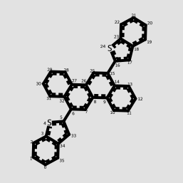 c1ccc2sc(-c3cc4c5ccccc5c(-c5cc6ccccc6s5)cc4c4ccccc34)cc2c1